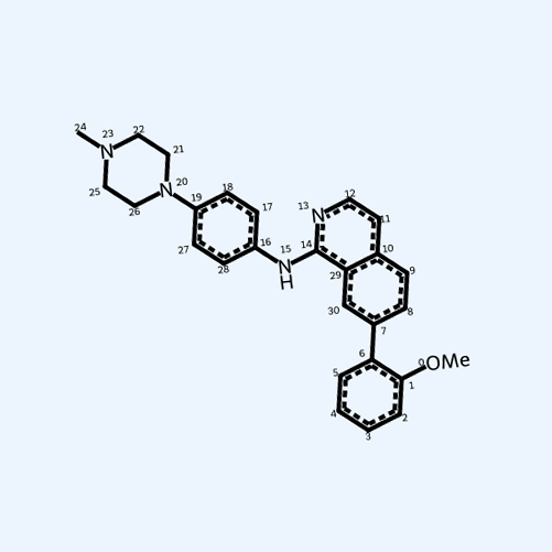 COc1ccccc1-c1ccc2ccnc(Nc3ccc(N4CCN(C)CC4)cc3)c2c1